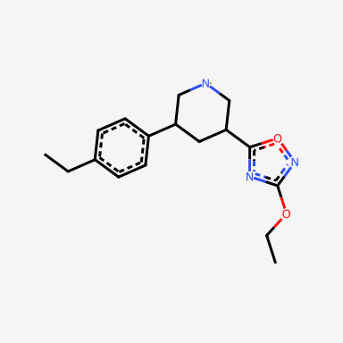 CCOc1noc(C2C[N]CC(c3ccc(CC)cc3)C2)n1